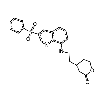 O=C1CC(CCNc2cccc3cc(S(=O)(=O)c4ccccc4)cnc23)CCO1